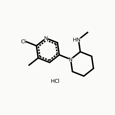 CNC1CCCCN1c1cnc(Cl)c(C)c1.Cl